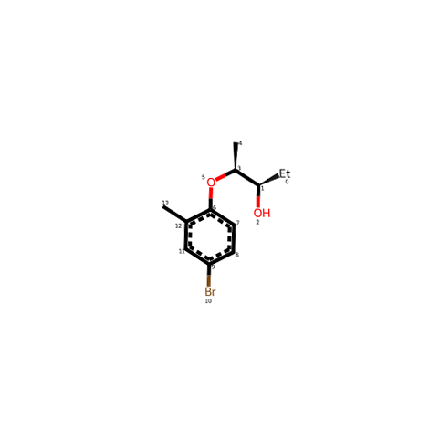 CC[C@@H](O)[C@H](C)Oc1ccc(Br)cc1C